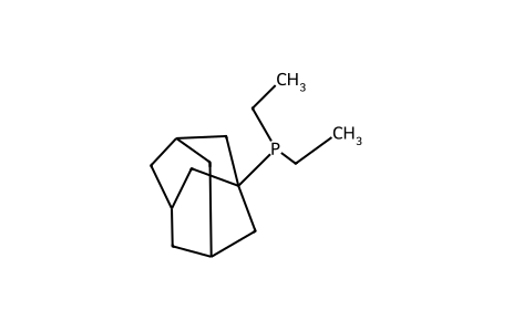 CCP(CC)C12CC3CC(CC(C3)C1)C2